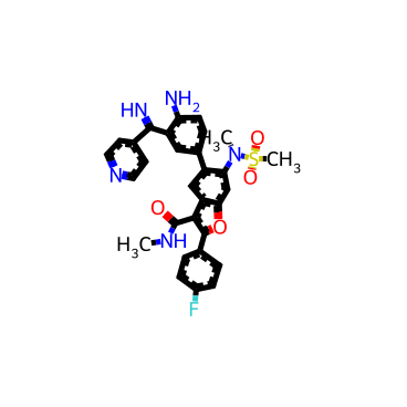 CNC(=O)c1c(-c2ccc(F)cc2)oc2cc(N(C)S(C)(=O)=O)c(-c3ccc(N)c(C(=N)c4ccncc4)c3)cc12